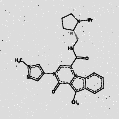 Cc1c2ccccc2n2c(C(=O)NC[C@@H]3CCCN3C(C)C)cn(-c3cnn(C)c3)c(=O)c12